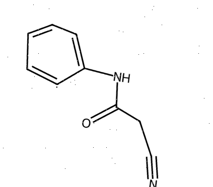 N#CCC(=O)Nc1[c]cccc1